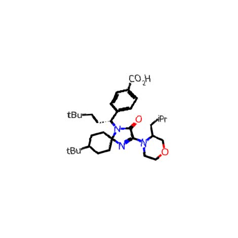 CC(C)CC1COCCN1C1=NC2(CCC(C(C)(C)C)CC2)N([C@H](CCC(C)(C)C)c2ccc(C(=O)O)cc2)C1=O